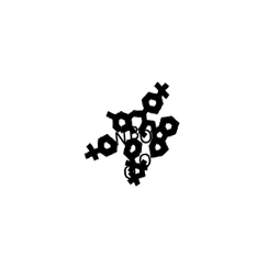 Cc1cc2c3c(c1)N(c1ccc(C(C)(C)C)cc1)c1cc4c(cc1B3C1=C(CC3(O1)c1ccccc1-c1ccccc13)C(c1ccc(C(C)(C)C)cc1)=C2)OC1(C)CC(C)(C)OC41C